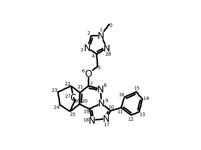 Cn1cnc(COc2nn3c(-c4ccccc4)nnc3c3c2C2CCC3CC2)n1